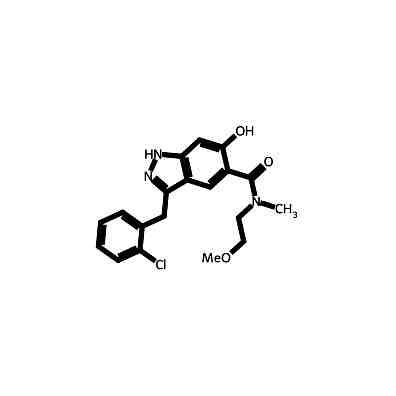 COCCN(C)C(=O)c1cc2c(Cc3ccccc3Cl)n[nH]c2cc1O